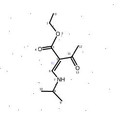 CCOC(=O)/C(=C/NC(C)C)C(C)=O